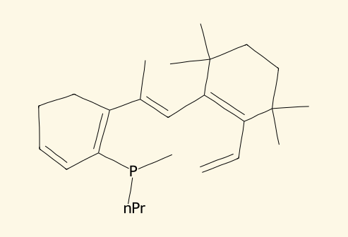 C=CC1=C(/C=C(\C)C2=C(P(C)CCC)C=CCC2)C(C)(C)CCC1(C)C